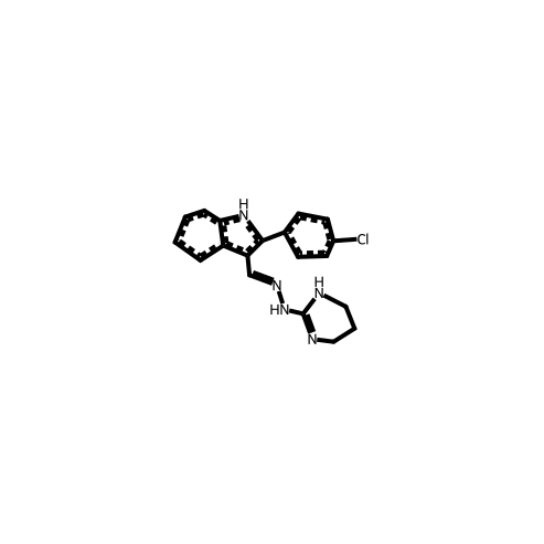 Clc1ccc(-c2[nH]c3ccccc3c2C=NNC2=NCCCN2)cc1